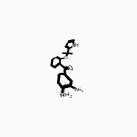 CC(C)(Oc1ccccc1C(=O)c1ccc(N)c(N)c1)c1ccc[nH]1